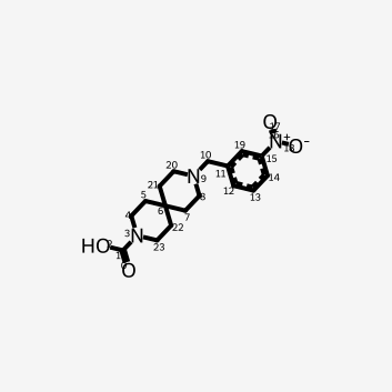 O=C(O)N1CCC2(CCN(Cc3cccc([N+](=O)[O-])c3)CC2)CC1